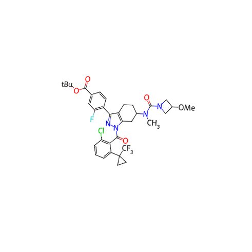 COC1CN(C(=O)N(C)C2CCc3c(-c4ccc(C(=O)OC(C)(C)C)cc4F)nn(C(=O)c4c(Cl)cccc4C4(C(F)(F)F)CC4)c3C2)C1